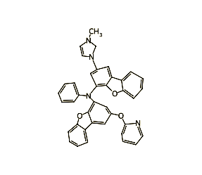 CN1C=CN(c2cc(N(c3ccccc3)c3cc(Oc4ccccn4)cc4c3oc3ccccc34)c3oc4ccccc4c3c2)C1